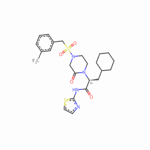 O=C(Nc1nccs1)[C@H](CC1CCCCC1)N1CCN(S(=O)(=O)Cc2cccc(C(F)(F)F)c2)CC1=O